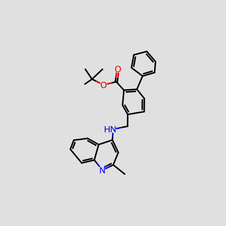 Cc1cc(NCc2ccc(-c3ccccc3)c(C(=O)OC(C)(C)C)c2)c2ccccc2n1